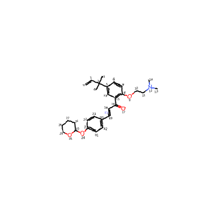 C=CC(C)(C)c1ccc(OCCN(C)C)c(C(=O)/C=C/c2ccc(OC3CCCCO3)cc2)c1